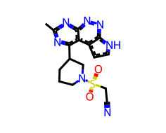 Cc1nc(C2CCCN(S(=O)(=O)CC#N)C2)c2c(nnc3[nH]ccc32)n1